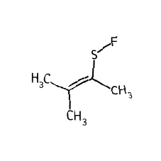 CC(C)=C(C)SF